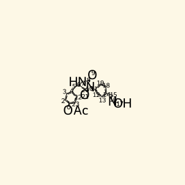 CC(=O)Oc1ccc(CC2NC(=O)N(c3ccc(C=NO)cc3)C2=O)cc1